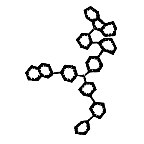 c1ccc(-c2cccc(-c3ccc(N(c4ccc(-c5ccc6ccccc6c5)cc4)c4ccc(-c5ccccc5-c5ccccc5-n5c6ccccc6c6ccccc65)cc4)cc3)c2)cc1